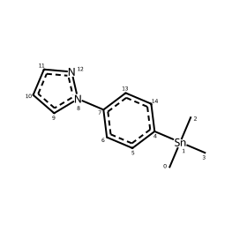 [CH3][Sn]([CH3])([CH3])[c]1ccc(-n2cccn2)cc1